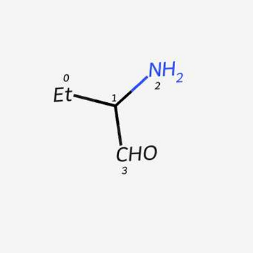 CCC(N)C=O